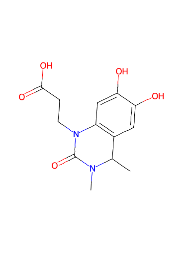 CC1c2cc(O)c(O)cc2N(CCC(=O)O)C(=O)N1C